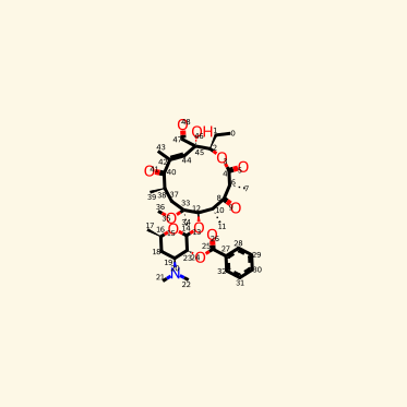 CC[C@H]1OC(=O)[C@H](C)C(=O)[C@H](C)[C@@H](OC2O[C@H](C)C[C@H](N(C)C)[C@H]2OC(=O)c2ccccc2)[C@@](C)(OC)C[C@@H](C)C(=O)/C(C)=C/[C@@]1(O)C=O